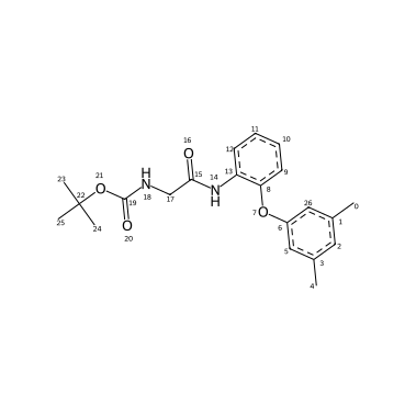 Cc1cc(C)cc(Oc2ccccc2NC(=O)CNC(=O)OC(C)(C)C)c1